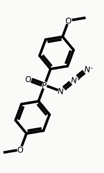 COc1ccc(P(=O)(N=[N+]=[N-])c2ccc(OC)cc2)cc1